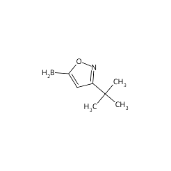 Bc1cc(C(C)(C)C)no1